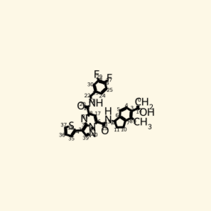 C=C(O)c1ccc2c(c1C)CC[C@@H]2NC(=O)c1cc(C(=O)NCc2ccc(F)c(F)c2)nc2c(-c3cccs3)cnn12